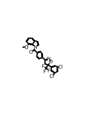 COc1cccc2ccn(C(=O)c3ccc(C4=NOC(c5cc(Cl)cc(Cl)c5)(C(F)(F)F)C4)cc3)c12